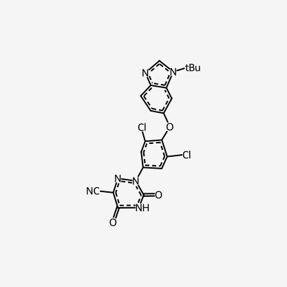 CC(C)(C)n1cnc2ccc(Oc3c(Cl)cc(-n4nc(C#N)c(=O)[nH]c4=O)cc3Cl)cc21